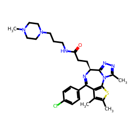 Cc1sc2c(c1C)C(c1ccc(Cl)cc1)=N[C@@H](CCC(=O)NCCCN1CCN(C)CC1)c1nnc(C)n1-2